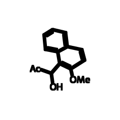 COc1ccc2ccccc2c1C(O)C(C)=O